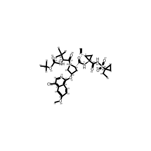 C=C[C@@H]1C[C@]1(NC(=O)[C@@H]1C[C@@H](Oc2ncc(Cl)c3cc(OC)ccc23)CN1C(=O)[C@@H](NC(=O)OC(C)(C)C)C(C)(C)C)C(=O)NS(=O)(=O)C1(CC)CC1